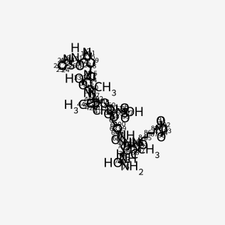 Cc1c(-c2ccc(-c3ccc4cncc(C(=O)Nc5nc6ccccc6s5)c4c3)nc2C(=O)O)cnn1CC12CC3(C)CC(C)(C1)CC(OCCN(CCS(=O)(=O)O)C(=O)OCc1ccc(NC(=O)[C@H](CCCNC(N)O)NC(=O)[C@@H](NC(=O)CCCCCN4C(=O)C=CC4=O)C(C)C)cc1)(C3)C2